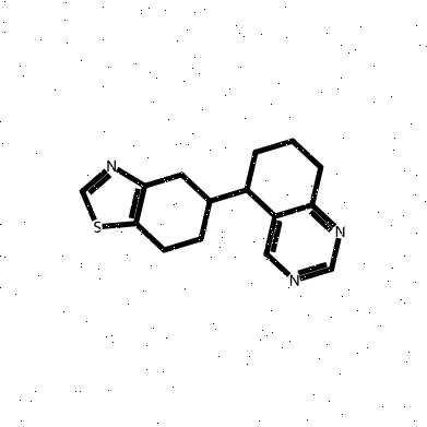 c1ncc2c(n1)CCCC2C1CCc2scnc2C1